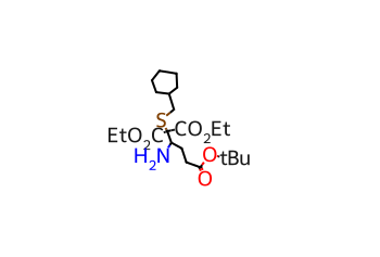 CCOC(=O)C(SCC1CCCCC1)(C(=O)OCC)C(N)CCC(=O)OC(C)(C)C